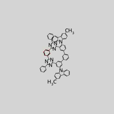 Cc1ccc2c(c1)c1ccccc1n2-c1cc(-c2cccc(-c3ccc(-n4c5ccccc5c5cc(C)ccc54)c(-c4nc(-c5ccccc5)nc(-c5ccccc5)n4)c3)c2)cc(-c2nc(-c3ccccc3)nc(-c3ccccc3)n2)c1